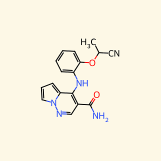 CC(C#N)Oc1ccccc1Nc1c(C(N)=O)cnn2cccc12